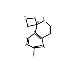 Fc1ccc2c(c1)C=CNC21COC1